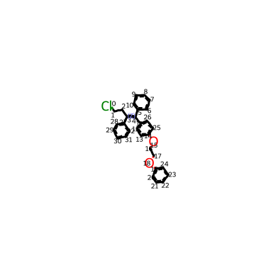 ClCC/C(=C(\c1ccccc1)c1ccc(OCCOc2ccccc2)cc1)c1ccccc1